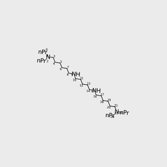 CCCN(CCC)CCCCCCNCCCCCNCCCCCCN(CCC)CCC